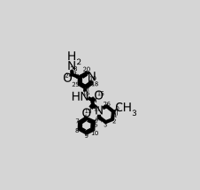 C[C@@H]1CC[C@H](c2ccccc2)N(C(=O)C(=O)Nc2cncc(C(N)=O)c2)C1